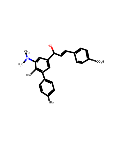 CN(C)c1cc(C(O)/C=C/c2ccc(C(=O)O)cc2)cc(-c2ccc(C(C)(C)C)cc2)c1C(C)(C)C